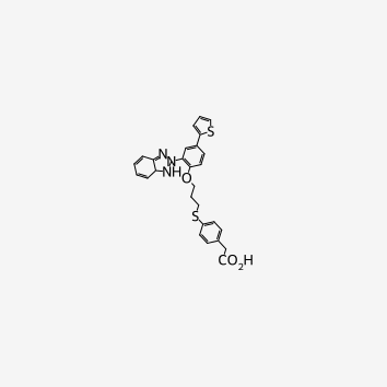 O=C(O)Cc1ccc(SCCCOc2ccc(-c3cccs3)cc2N2N=C3C=CC=CC3N2)cc1